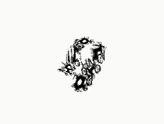 CC(C)(C(=O)Nc1ccc(C(F)(F)F)cn1)S(=O)(=O)c1cc(F)ccc1F.CC(C)(C)c1cc(NC(=O)C(C)(C)S(=O)(=O)c2cc(F)ccc2F)on1